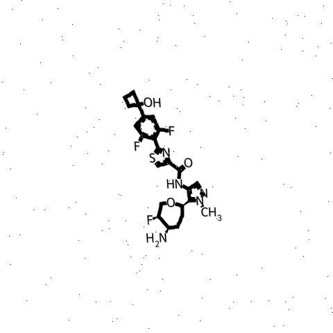 Cn1ncc(NC(=O)c2csc(-c3c(F)cc(C4(O)CCC4)cc3F)n2)c1[C@H]1CC[C@@H](N)[C@@H](F)CO1